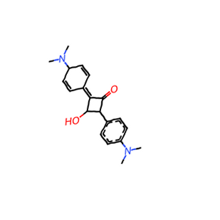 CN(C)c1ccc(C2C(=O)C(=C3C=CC(N(C)C)C=C3)C2O)cc1